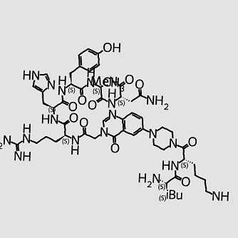 CC[C@H](C)[C@H](N)C(=O)N[C@@H](CCCCN)C(=O)N1CCN(c2ccc3ncn(CC(=O)N[C@@H](CCCNC(=N)N)C(=O)N[C@@H](Cc4c[nH]cn4)C(=O)N[C@@H](Cc4ccc(O)cc4)C(=O)N[C@@H](C)C(=O)N[C@@H](CC(N)=O)C(=O)NC)c(=O)c3c2)CC1